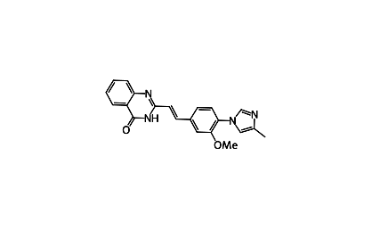 COc1cc(/C=C/c2nc3ccccc3c(=O)[nH]2)ccc1-n1cnc(C)c1